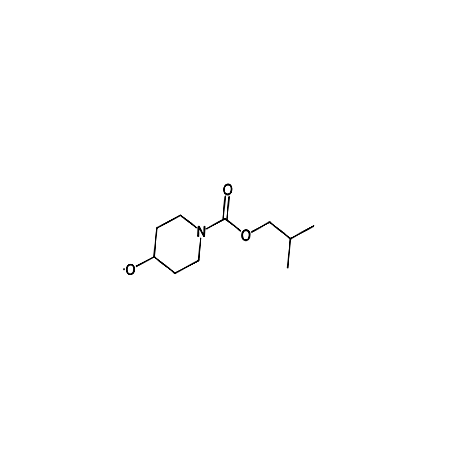 CC(C)COC(=O)N1CCC([O])CC1